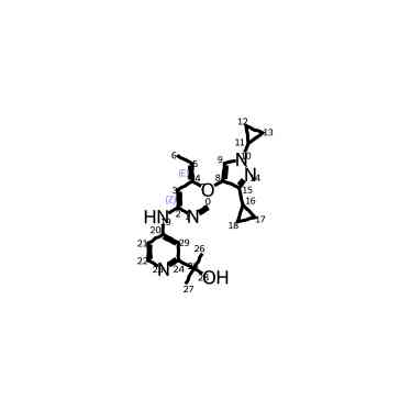 C=N/C(=C\C(=C/C)Oc1cn(C2CC2)nc1C1CC1)Nc1ccnc(C(C)(C)O)c1